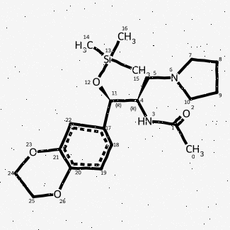 CC(=O)N[C@H](CN1CCCC1)[C@H](O[Si](C)(C)C)c1ccc2c(c1)OCCO2